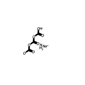 N.O=C([O-])OC(=O)OC(=O)O.[Na+]